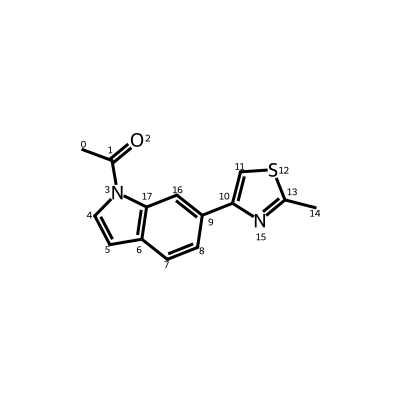 CC(=O)n1ccc2ccc(-c3csc(C)n3)cc21